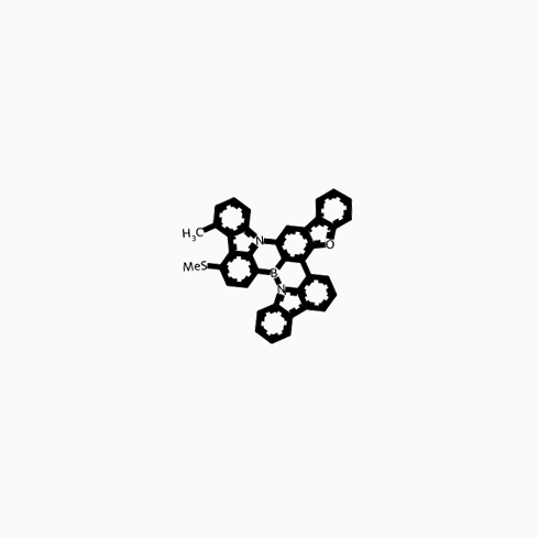 CSc1ccc2c3c1c1c(C)cccc1n3-c1cc3c(oc4ccccc43)c3c1B2n1c2ccccc2c2cccc-3c21